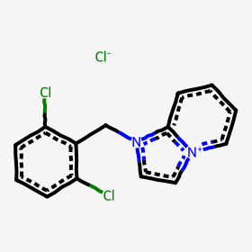 Clc1cccc(Cl)c1Cn1cc[n+]2ccccc12.[Cl-]